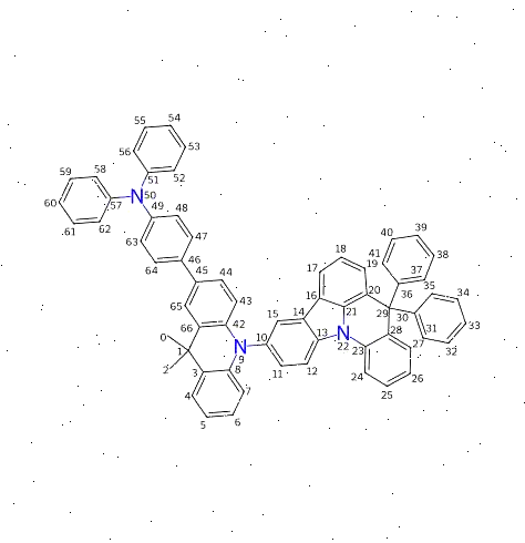 CC1(C)c2ccccc2N(c2ccc3c(c2)c2cccc4c2n3-c2ccccc2C4(c2ccccc2)c2ccccc2)c2ccc(-c3ccc(N(c4ccccc4)c4ccccc4)cc3)cc21